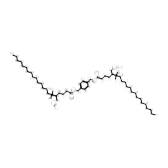 CCCCCCCCCCCCCCCC(C)(C)C(CO)CCCC(=O)OCc1ccc(COC(=O)CCCC(COC)C(C)(C)CCCCCCCCCCCCCCC)cc1